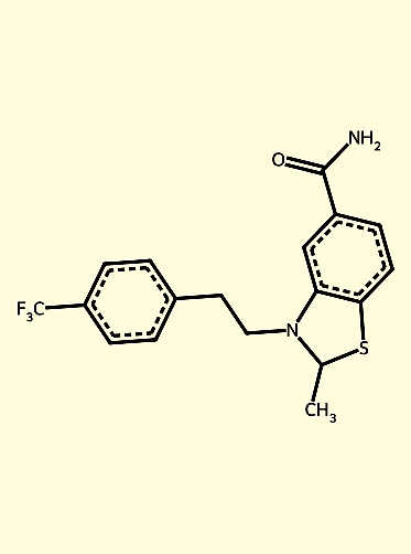 CC1Sc2ccc(C(N)=O)cc2N1CCc1ccc(C(F)(F)F)cc1